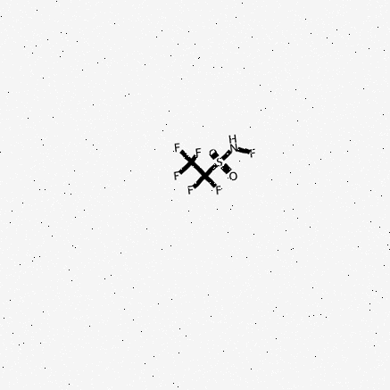 O=S(=O)(NF)C(F)(F)C(F)(F)F